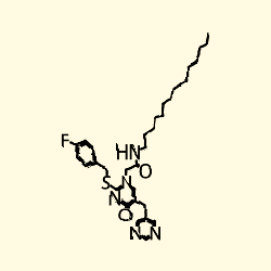 CCCCCCCCCCCCCCNC(=O)Cn1cc(Cc2cncnc2)c(=O)nc1SCc1ccc(F)cc1